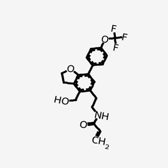 C=CC(=O)NCCc1cc(-c2ccc(OC(F)(F)F)cc2)c2c(c1CO)CCO2